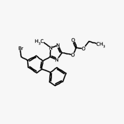 CCOC(=O)Oc1nc(-c2cc(CBr)ccc2-c2ccccc2)n(C)n1